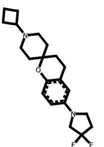 FC1(F)CCN(c2ccc3c(c2)CCC2(CCN(C4CCC4)CC2)O3)C1